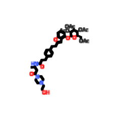 CC(=O)OC[C@H]1O[C@@H](Oc2cccc3oc(CCc4ccc(CCC(=O)NC(C)CC(=O)N5CCN(CCO)CC5)cc4)cc23)[C@H](OC(C)=O)[C@@H](OC(C)=O)[C@@H]1OC(C)=O